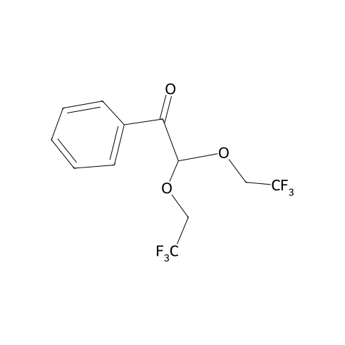 O=C(c1ccccc1)C(OCC(F)(F)F)OCC(F)(F)F